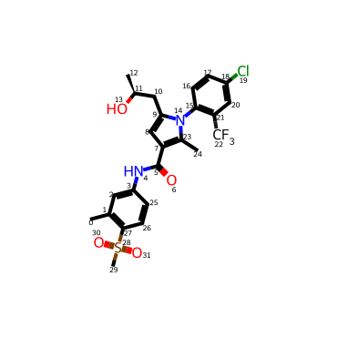 Cc1cc(NC(=O)c2cc(C[C@H](C)O)n(-c3ccc(Cl)cc3C(F)(F)F)c2C)ccc1S(C)(=O)=O